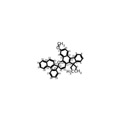 CCC1(CC)c2ccccc2-c2c1c1c(c3cc(OC)ccc23)OC(c2ccccc2)(c2ccc3ccccc3c2)C=C1